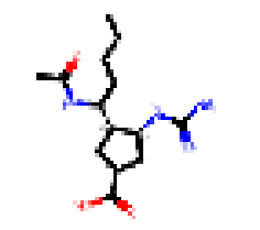 CCCCC(NC(C)=O)[C@@H]1CC(C(=O)O)C[C@@H]1NC(=N)N